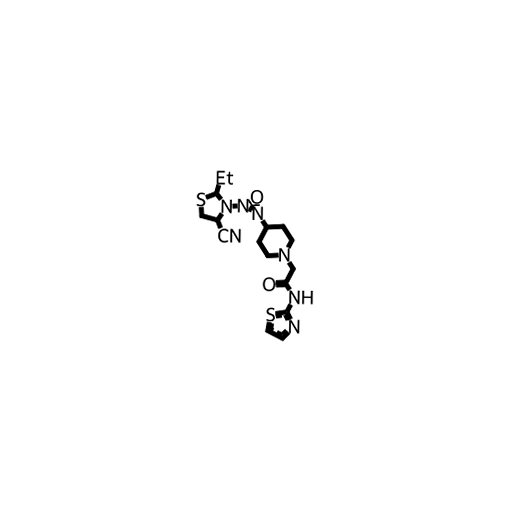 CCC1SCC(C#N)N1n1on1C1CCN(CC(=O)Nc2nccs2)CC1